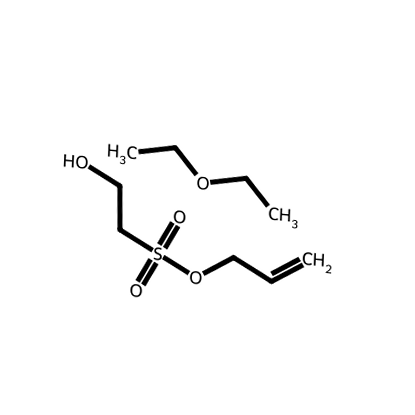 C=CCOS(=O)(=O)CCO.CCOCC